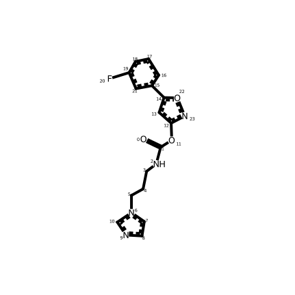 O=C(NCCCn1ccnc1)Oc1cc(-c2cccc(F)c2)on1